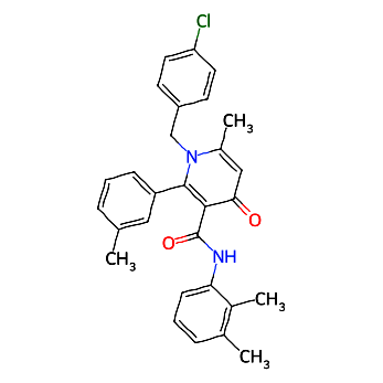 Cc1cccc(-c2c(C(=O)Nc3cccc(C)c3C)c(=O)cc(C)n2Cc2ccc(Cl)cc2)c1